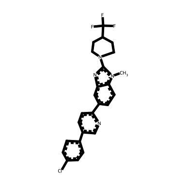 Cn1c(N2CCC(C(F)(F)F)CC2)nc2cc(-c3ccc(-c4ccc(Cl)cc4)cn3)ccc21